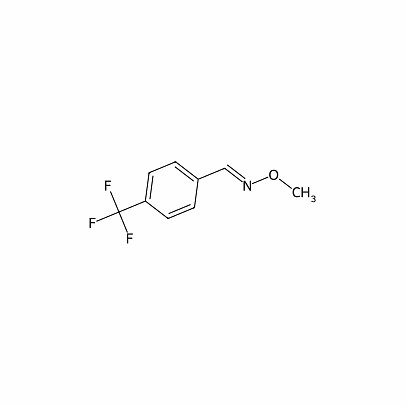 CON=Cc1ccc(C(F)(F)F)cc1